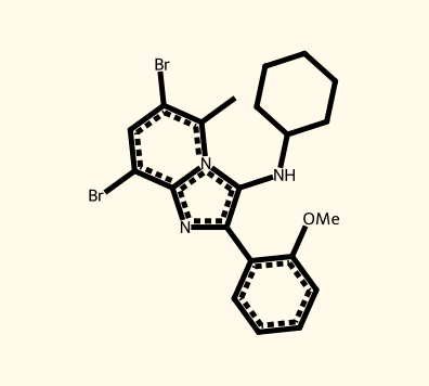 COc1ccccc1-c1nc2c(Br)cc(Br)c(C)n2c1NC1CCCCC1